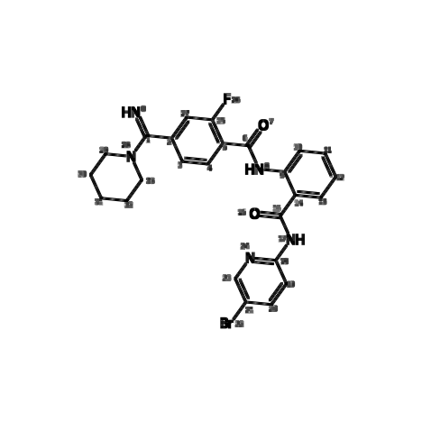 N=C(c1ccc(C(=O)Nc2ccccc2C(=O)Nc2ccc(Br)cn2)c(F)c1)N1CCCCC1